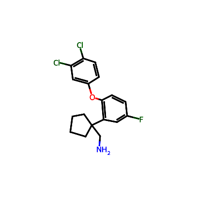 NCC1(c2cc(F)ccc2Oc2ccc(Cl)c(Cl)c2)CCCC1